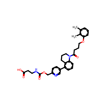 Cc1cccc(OCCCC(=O)N2CCCc3c(-c4ccc(COC(=O)NCCC(=O)O)nc4)cccc32)c1C